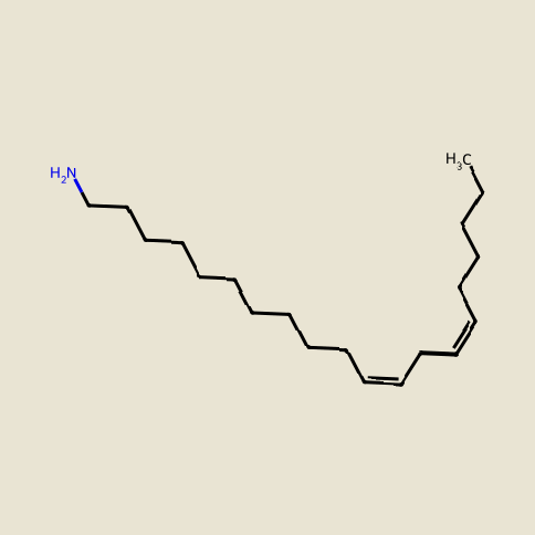 CCCCC/C=C\C/C=C\CCCCCCCCCCN